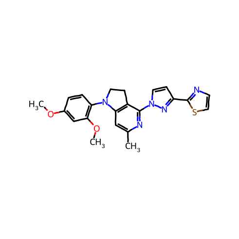 COc1ccc(N2CCc3c2cc(C)nc3-n2ccc(-c3nccs3)n2)c(OC)c1